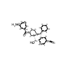 N#Cc1cncc([C@@H](c2ccccc2)N2CCN(C(=O)c3cncc(N)c3)C[C@H]2CO)c1